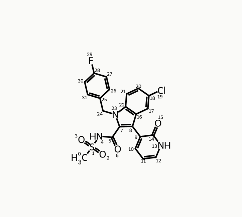 CS(=O)(=O)NC(=O)c1c(-c2ccc[nH]c2=O)c2cc(Cl)ccc2n1Cc1ccc(F)cc1